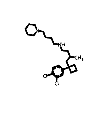 CC(CCNCCCCN1CCCCC1)CC1(c2ccc(Cl)c(Cl)c2)CCC1